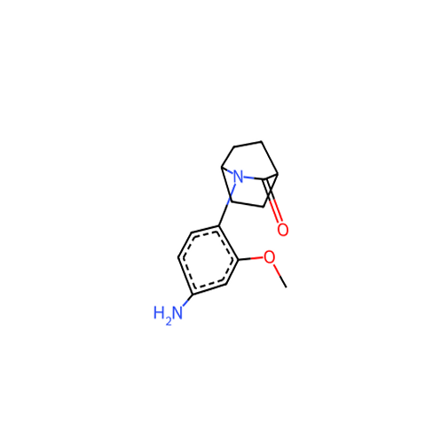 COc1cc(N)ccc1N1C(=O)C2CCC1CC2